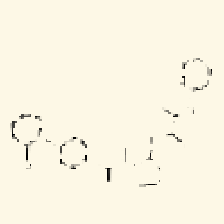 O=C(Nc1ccc(Cl)cn1)C(=O)NC1CCCC1NC(=O)c1ccc(-n2ccccc2=O)cc1